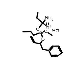 C=CC(Cc1ccccc1)O[Si](CCC)(OC)OC(N)(N)CC.Cl